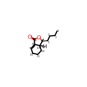 CCCC[C@@H]1OC(=O)C2=CCCC[C@H]21